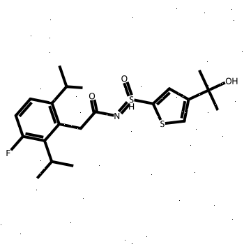 CC(C)c1ccc(F)c(C(C)C)c1CC(=O)/N=[SH](=O)/c1cc(C(C)(C)O)cs1